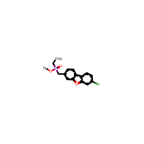 CCOP(=O)(CC=O)Cc1ccc2c(c1)oc1cc(Br)ccc12